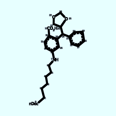 CCCCCCCCCCCCCCCCNc1ccc(C(=O)O)c(C(c2ccccc2)C2COCO2)c1